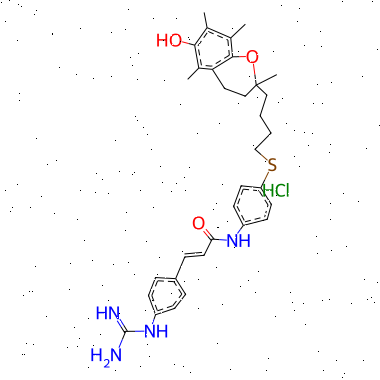 Cc1c(C)c2c(c(C)c1O)CCC(C)(CCCCSc1ccc(NC(=O)C=Cc3ccc(NC(=N)N)cc3)cc1)O2.Cl